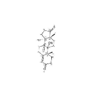 C[C@@]12CCC3(O)[C@H](CCC4=CC(=O)CC[C@]43C)[C@H]1CCC2=O